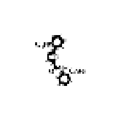 COc1ccccc1NC(=O)c1ccc(-c2ccccc2[N+](=O)[O-])o1